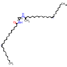 C=C(CCCCCCCCCCC/C=C\CCCCCCCC)N[C@@H]1C[C@@H]1NC(=O)CCCCCCCCCCC/C=C\CCCCCCCC